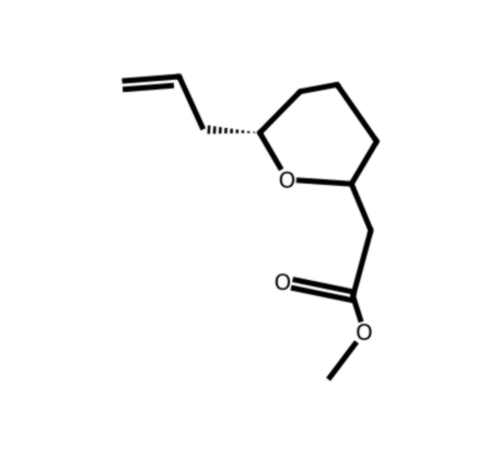 C=CC[C@@H]1CCCC(CC(=O)OC)O1